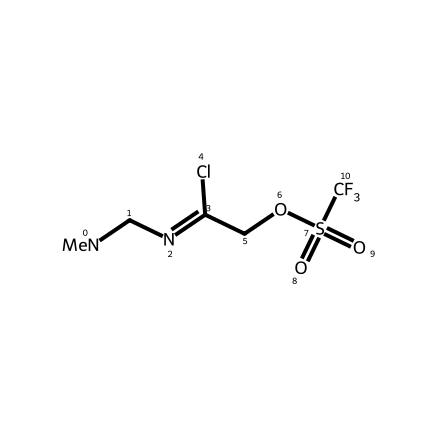 CNCN=C(Cl)COS(=O)(=O)C(F)(F)F